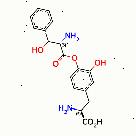 N[C@H](C(=O)Oc1ccc(C[C@H](N)C(=O)O)cc1O)C(O)c1ccccc1